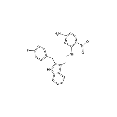 Nc1ccc([N+](=O)[O-])c(NCCc2c(Cc3ccc(F)cc3)[nH]c3ccccc23)n1